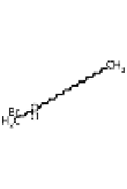 CCCCCCCCCCCCCCCCCCCCOC(=O)CCC(C)Br